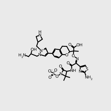 CC(O/N=C(\C(=O)NC1C(=O)N(OS(=O)(=O)[O-])C1(C)C)c1csc(N)n1)(C(=O)O)C1CCc2cc(-c3cn(CC(O)CN)[n+](CC4CNC4)c3)ccc2O1